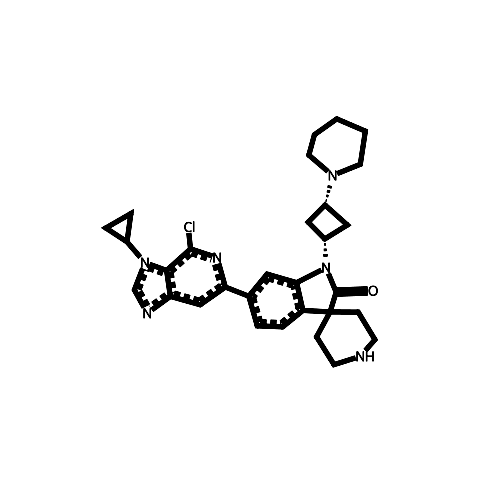 O=C1N([C@H]2C[C@@H](N3CCCCC3)C2)c2cc(-c3cc4ncn(C5CC5)c4c(Cl)n3)ccc2C12CCNCC2